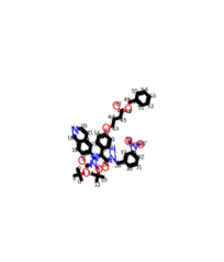 CC(C)(C)OC(=O)N(OC(C)(C)C)N(c1ccc2cnccc2c1)C(C(=O)NCc1cccc([N+](=O)[O-])c1)c1ccc(OCCCC(=O)OCc2ccccc2)cc1